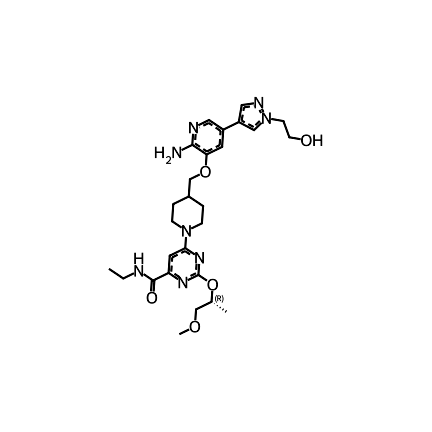 CCNC(=O)c1cc(N2CCC(COc3cc(-c4cnn(CCO)c4)cnc3N)CC2)nc(O[C@H](C)COC)n1